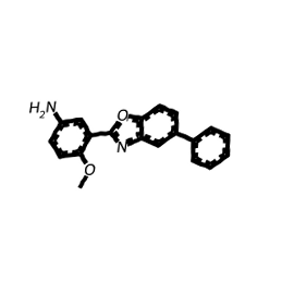 COc1ccc(N)cc1-c1nc2cc(-c3ccccc3)ccc2o1